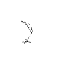 CCOC(=O)CC1CCc2ccc(OCCCCNC(=N)N)cc2C1